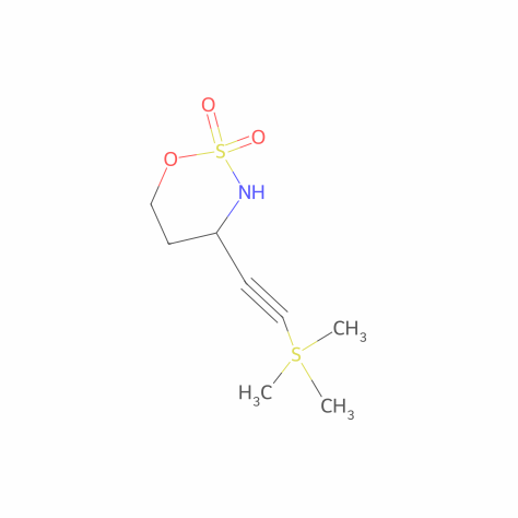 CS(C)(C)C#CC1CCOS(=O)(=O)N1